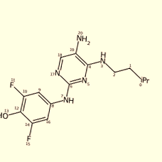 CC(C)CCNc1nc(Nc2cc(F)c(O)c(F)c2)ncc1N